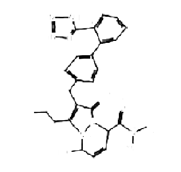 CCCc1c(Cc2ccc(-c3ccccc3-c3nnn[nH]3)cc2)c(=O)n2n1C(C)C=CC2C(=O)N(C)C